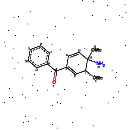 COC1C=C(C(=O)c2ccccc2)C=CC1(N)OC